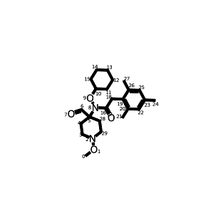 CON1CCC(C=O)(N(OC2CCCCC2)C(=O)Cc2c(C)cc(C)cc2C)CC1